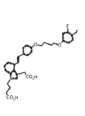 O=C(O)CCCn1cc(CC(=O)O)c2c(C=Cc3ccc(OCCCCOc4ccc(F)c(F)c4)cc3)cccc21